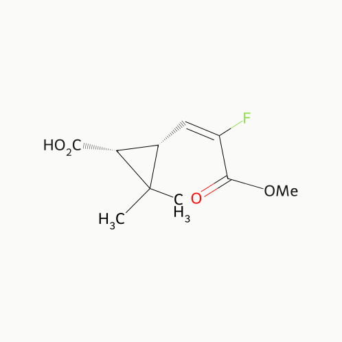 COC(=O)/C(F)=C\[C@H]1[C@@H](C(=O)O)C1(C)C